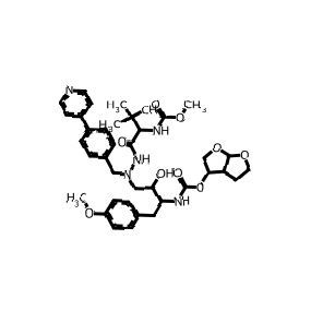 COC(=O)NC(C(=O)NN(Cc1ccc(-c2ccncc2)cc1)CC(O)C(Cc1ccc(OC)cc1)NC(=O)OC1COC2OCCC12)C(C)(C)C